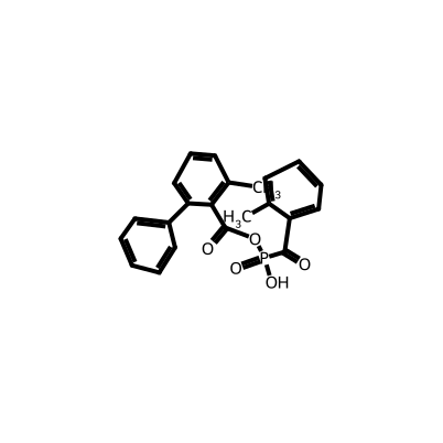 Cc1ccccc1C(=O)P(=O)(O)OC(=O)c1c(C)cccc1-c1ccccc1